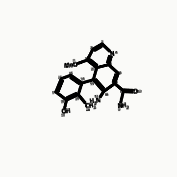 COc1ccnc2cc(C(N)=O)c(N)c(-c3cccc(O)c3C)c12